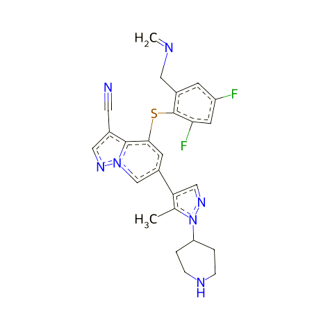 C=NCc1cc(F)cc(F)c1Sc1cc(-c2cnn(C3CCNCC3)c2C)cn2ncc(C#N)c12